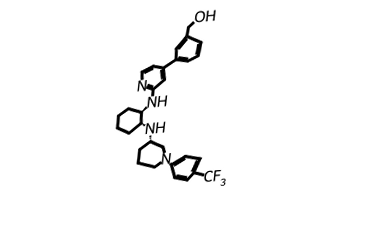 OCc1cccc(-c2ccnc(N[C@@H]3CCCC[C@H]3N[C@H]3CCCN(c4ccc(C(F)(F)F)cc4)C3)c2)c1